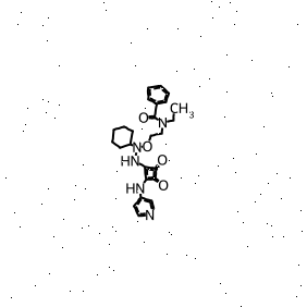 CCN(CCON(Nc1c(Nc2ccncc2)c(=O)c1=O)C1CCCCC1)C(=O)c1ccccc1